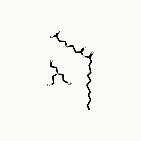 CCCCCCCCCCCC(=O)OC(=O)CCNCCC(=O)O.OCCN(CCO)CCO